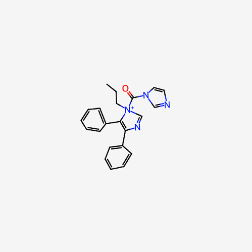 CCC[N+]1(C(=O)n2ccnc2)C=NC(c2ccccc2)=C1c1ccccc1